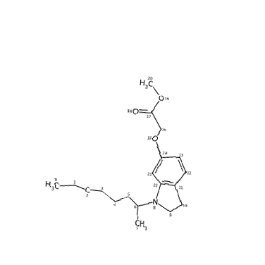 CCCCCCC(C)N1CCc2ccc(OCC(=O)OC)cc21